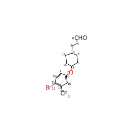 O=CCCC1CCC(Oc2ccc(Br)c(C(F)(F)F)c2)CC1